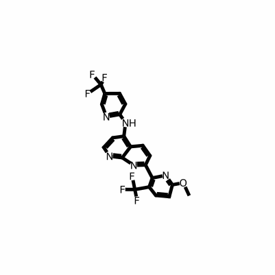 COc1ccc(C(F)(F)F)c(-c2ccc3c(Nc4ccc(C(F)(F)F)cn4)ccnc3n2)n1